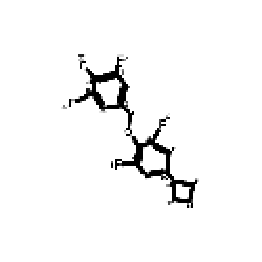 Fc1cc(COc2c(F)cc(C3CCC3)cc2F)cc(F)c1F